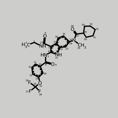 CCNC(=O)c1c(NC(=O)c2cccc(OC(F)(F)F)c2)[nH]c2cc(N(C)C(=O)C3CCCCC3)ccc12